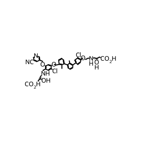 Cc1c(COc2cc(OCc3cncc(C#N)c3)c(CNC[C@@H](O)CC(=O)O)cc2Cl)cccc1-c1cccc(-c2ccc(OCCNC[C@@H](O)CC(=O)O)c(Cl)c2)c1C